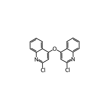 Clc1cc(Oc2cc(Cl)nc3ccccc23)c2ccccc2n1